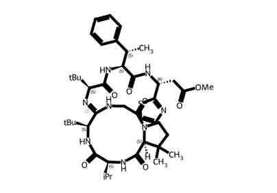 COC(=O)C[C@@H](NC(=O)[C@@H](NC(=O)[C@@H](/N=C1\NCC(=O)N2CCC(C)(C)[C@H]2C(=O)N[C@@H](C(C)C)C(=O)N[C@H]1C(C)(C)C)C(C)(C)C)[C@@H](C)c1ccccc1)c1nccs1